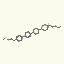 CCCCC[SiH]1CCC(C2CCC(c3ccc(-c4ccc(CCCOC)cc4)cc3)CC2)CC1